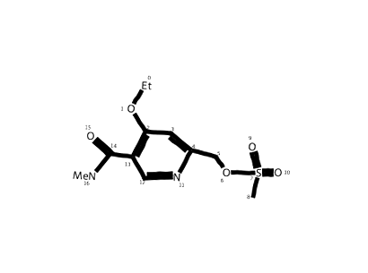 CCOc1cc(COS(C)(=O)=O)ncc1C(=O)NC